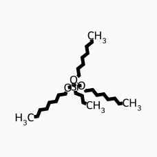 CCCCCCCCO[Si](CCCC)(OCCCCCCCC)OCCCCCCCC